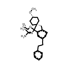 CCOC1(/N=C(\C)N)c2cc(CCc3ccccc3)ccc2C[C@]12CC[C@@H](OC)CC2